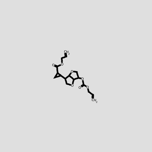 C=CCOC(=O)OC1COC2C(C3CC3C(=O)OCC=C)COC12